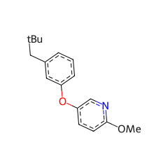 COc1ccc(Oc2cccc(CC(C)(C)C)c2)cn1